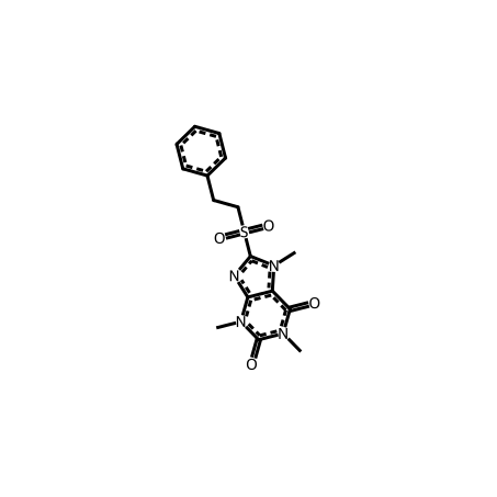 Cn1c(=O)c2c(nc(S(=O)(=O)CCc3ccccc3)n2C)n(C)c1=O